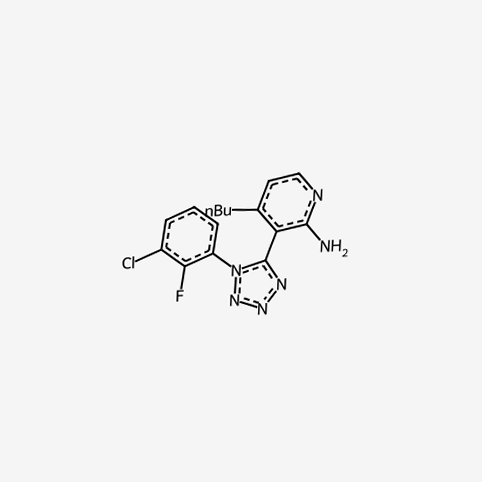 CCCCc1ccnc(N)c1-c1nnnn1-c1cccc(Cl)c1F